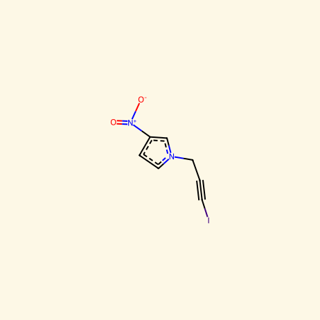 O=[N+]([O-])c1ccn(CC#CI)c1